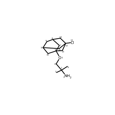 CC(C)(N)COC12CC3CC(CC(Cl)(C3)C1)C2